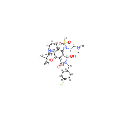 CC(C)[Si](Oc1c2c(c(N(CCN(C)C)S(C)(=O)=O)c3cccnc13)C(O)N(Cc1ccc(F)cc1)C2=O)(C(C)C)C(C)C